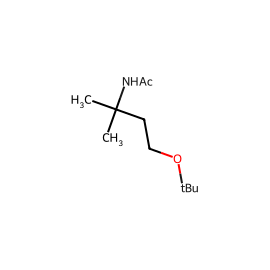 CC(=O)NC(C)(C)CCOC(C)(C)C